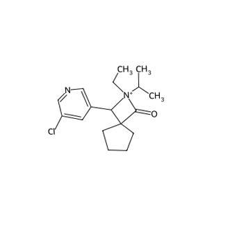 CC[N+]1(C(C)C)C(=O)C2(CCCC2)C1c1cncc(Cl)c1